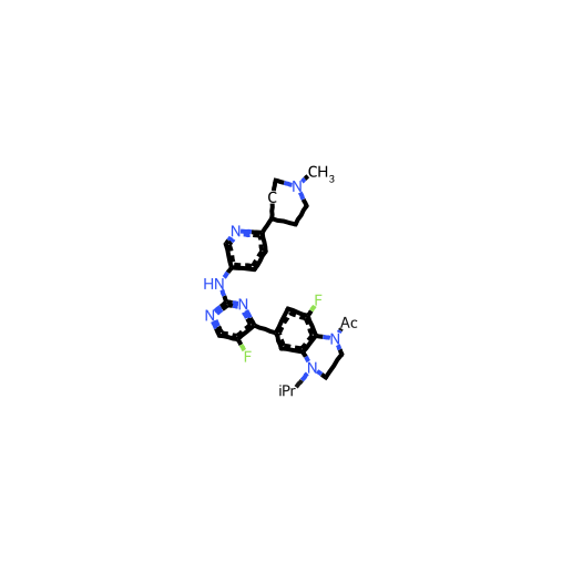 CC(=O)N1CCN(C(C)C)c2cc(-c3nc(Nc4ccc(C5CCN(C)CC5)nc4)ncc3F)cc(F)c21